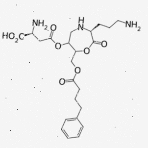 NCCC[C@@H]1NCC(OC(=O)C[C@H](N)C(=O)O)C(COC(=O)CCCc2ccccc2)OC1=O